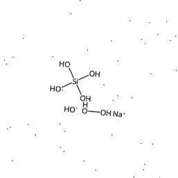 OO.O[Si](O)(O)O.[Na+].[OH-]